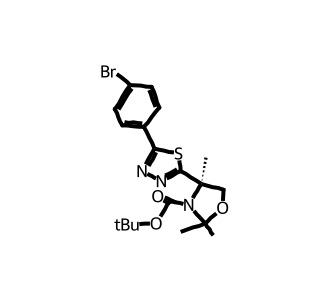 CC(C)(C)OC(=O)N1C(C)(C)OC[C@]1(C)c1nnc(-c2ccc(Br)cc2)s1